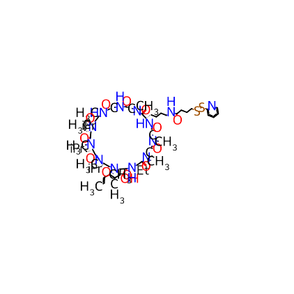 C/C=C/C[C@@H](C)[C@@H](O)[C@H]1C(=O)N[C@@H](CC)C(=O)N(C)CC(=O)N(C)CC(=O)N[C@@H](CCCCNC(=O)CCCSSc2ccccn2)C(=O)N(C)CC(=O)NCC(=O)N[C@H](C)C(=O)N(C)[C@@H](CC(C)C)C(=O)N(C)[C@@H](CC(C)C)C(=O)N(C)[C@@H](C(C)C)C(=O)N1C